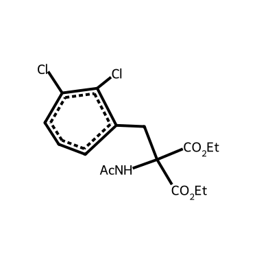 CCOC(=O)C(Cc1cccc(Cl)c1Cl)(NC(C)=O)C(=O)OCC